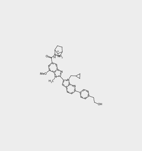 COc1cc(C(=O)N2CC3CCC2[C@@H]3N)cc2nc(-c3cc4ccc(-c5ccc(CCO)cc5)nc4n3CC3CC3)n(C)c12